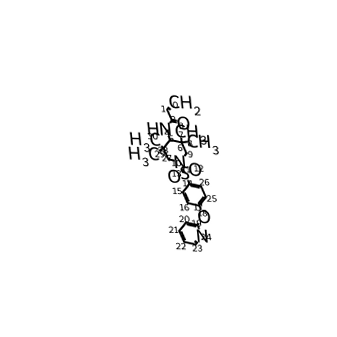 C=CC(=O)NC1C(C)(C)CN(S(=O)(=O)c2ccc(Oc3ccccn3)cc2)CC1(C)C